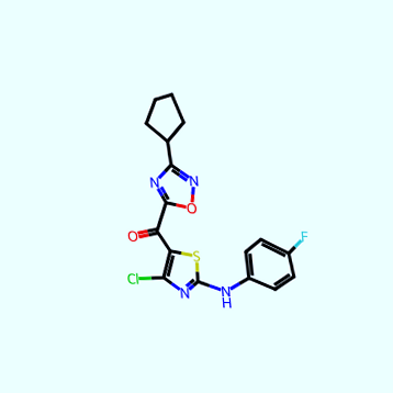 O=C(c1nc(C2CCCC2)no1)c1sc(Nc2ccc(F)cc2)nc1Cl